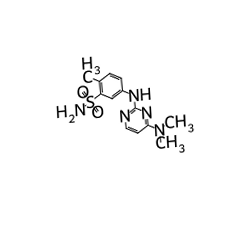 Cc1ccc(Nc2nccc(N(C)C)n2)cc1S(N)(=O)=O